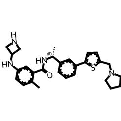 Cc1ccc(NC2CNC2)cc1C(=O)N[C@H](C)c1cccc(-c2ccc(CN3CCCC3)s2)c1